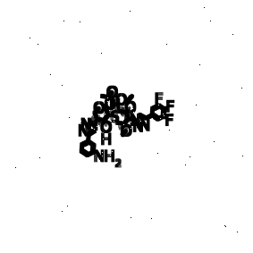 CO[C@H]1C[SH]([C@@H]2COC[C@H](n3cc(-c4cccc(N)c4)nn3)[C@H]2O)[C@H](COC(C)=O)[C@H](OC(C)=O)[C@H]1n1cc(-c2cc(F)c(F)c(F)c2)nn1